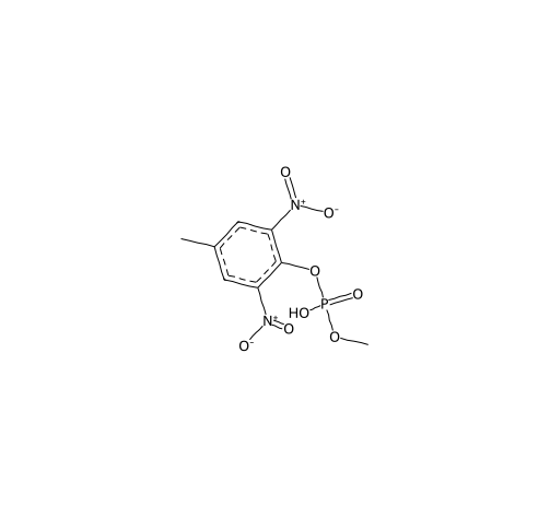 COP(=O)(O)Oc1c([N+](=O)[O-])cc(C)cc1[N+](=O)[O-]